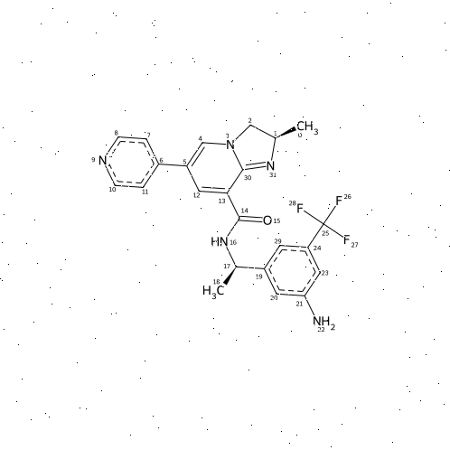 C[C@@H]1CN2C=C(c3ccncc3)C=C(C(=O)N[C@H](C)c3cc(N)cc(C(F)(F)F)c3)C2=N1